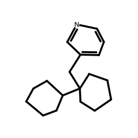 c1cncc(CC2(C3CCCCC3)CCCCC2)c1